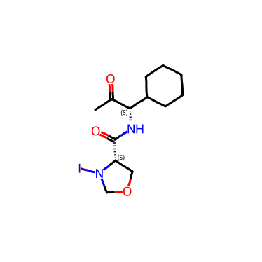 CC(=O)[C@@H](NC(=O)[C@@H]1COCN1I)C1CCCCC1